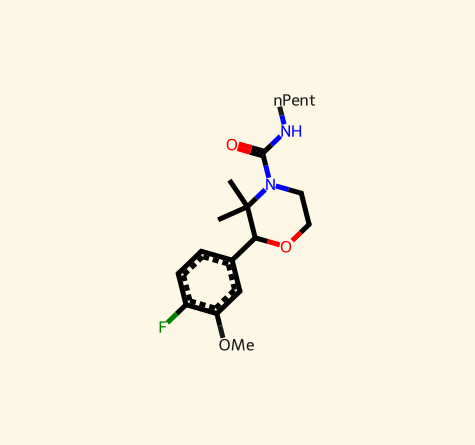 CCCCCNC(=O)N1CCOC(c2ccc(F)c(OC)c2)C1(C)C